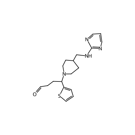 O=CCCC(c1cccs1)N1CCC(CNc2ncccn2)CC1